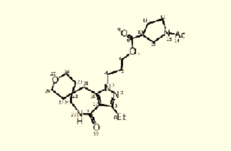 CCc1nn(CCCOC(=O)C2CCN(C(C)=O)C2)c2c1C(=O)NCC1(CCOCC1)C2